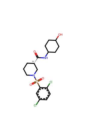 O=C(NC1CCC(O)CC1)[C@H]1CCCN(S(=O)(=O)c2cc(Cl)ccc2Cl)C1